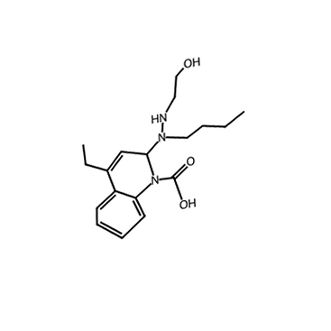 CCCCN(NCCO)C1C=C(CC)c2ccccc2N1C(=O)O